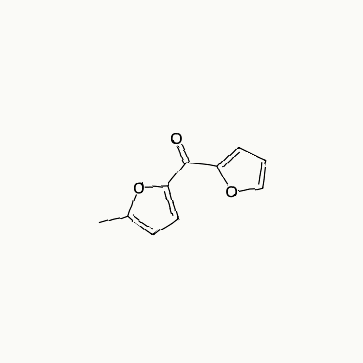 Cc1ccc(C(=O)c2ccco2)o1